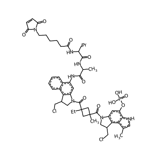 CCC1(C(=O)N2CC(CCl)c3c2cc(NC(=O)C(C)NC(=O)C(NC(=O)CCCCCN2C(=O)C=CC2=O)C(C)C)c2ccccc32)CC(C)(C(=O)N2CC(CCl)c3c2cc(OP(=O)(O)O)c2[nH]cc(C)c32)C1